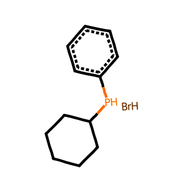 Br.c1ccc(PC2CCCCC2)cc1